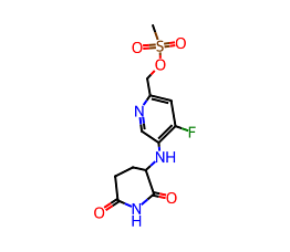 CS(=O)(=O)OCc1cc(F)c(NC2CCC(=O)NC2=O)cn1